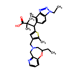 CCC1CN(Cc2cc(C(c3ccc4c(nnn4CC)c3C)C(C)(C)C(=O)O)sc2C)Cc2ncccc2O1